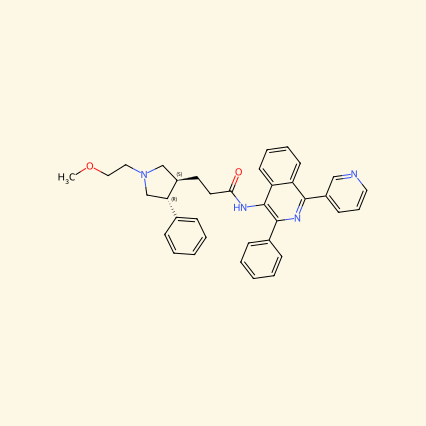 COCCN1C[C@@H](CCC(=O)Nc2c(-c3ccccc3)nc(-c3cccnc3)c3ccccc23)[C@H](c2ccccc2)C1